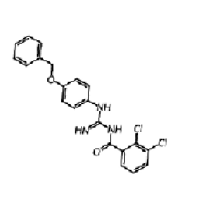 N=C(NC(=O)c1cccc(Cl)c1Cl)Nc1ccc(OCc2ccccc2)cc1